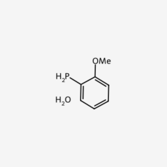 COc1ccccc1P.O